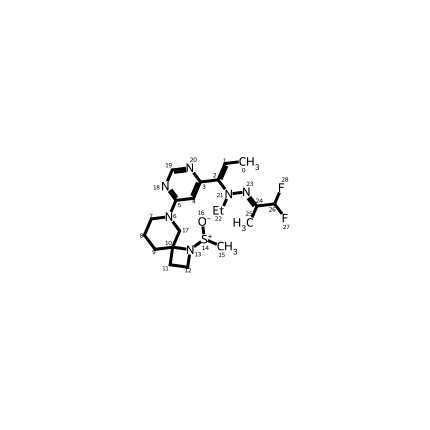 C/C=C(/c1cc(N2CCCC3(CCN3[S+](C)[O-])C2)ncn1)N(CC)/N=C(\C)C(F)F